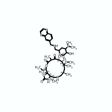 CC[C@H]1OC(=O)C(C)C(=O)[C@H](C)[C@@H](O[C@@H]2OC(CNCc3ccc4nccnc4c3)CC(N(C)C)C2O)[C@](C)(OC)C[C@@H](C)CN[C@H](C)[C@H]2NC(=O)O[C@@]21C